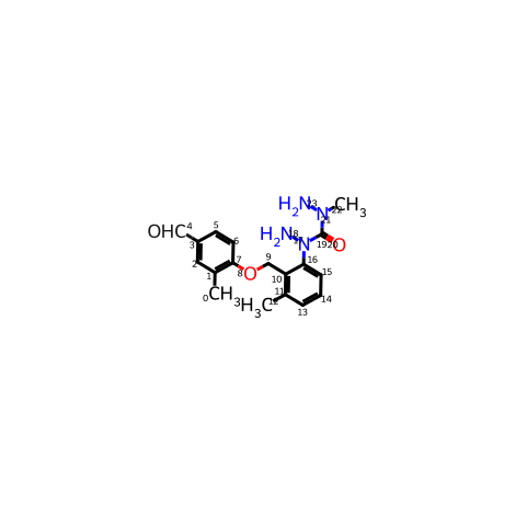 Cc1cc(C=O)ccc1OCc1c(C)cccc1N(N)C(=O)N(C)N